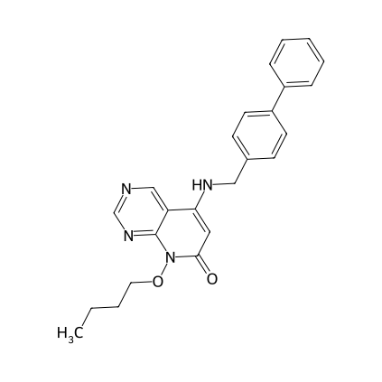 CCCCOn1c(=O)cc(NCc2ccc(-c3ccccc3)cc2)c2cncnc21